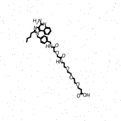 CCCCc1nc2c(N)nc3ccccc3c2n1Cc1ccc(CNC(=O)COCC(=O)NCCOCCOCCOCCC(=O)O)cc1